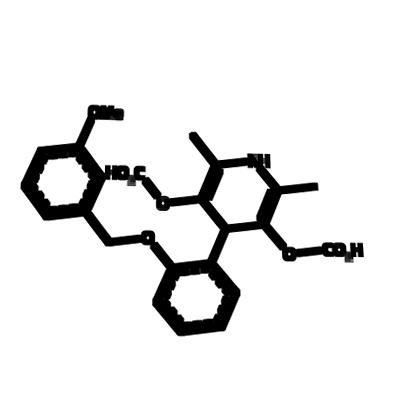 COc1cccc(COc2ccccc2C2C(OC(=O)O)=C(C)NC(C)=C2OC(=O)O)c1